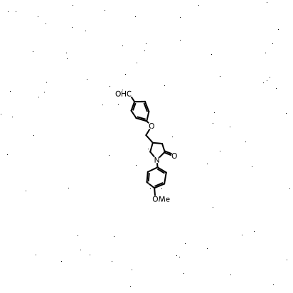 COc1ccc(N2CC(COc3ccc(C=O)cc3)CC2=O)cc1